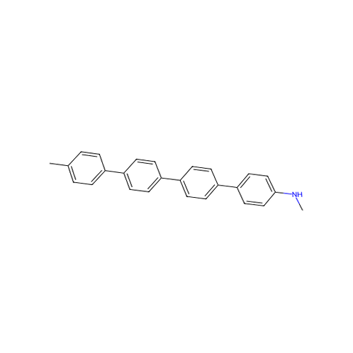 CNc1ccc(-c2ccc(-c3ccc(-c4ccc(C)cc4)cc3)cc2)cc1